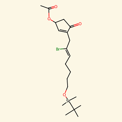 CC(=O)OC1C=C(CC(Br)=CCCCCO[Si](C)(C)C(C)(C)C)C(=O)C1